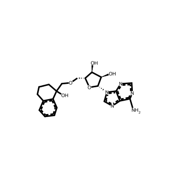 Nc1ncnc2c1ncn2[C@@H]1O[C@H](COCC2(O)CCCc3ccccc32)[C@@H](O)[C@H]1O